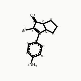 Nc1ccc(C2=C(Br)C(=O)C3CCCC23)cc1